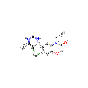 C#CCN1C(=O)COc2cc(F)c(-c3ncnc(C(F)(F)F)c3Cl)cc21